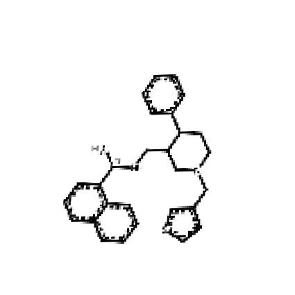 C[C@@H](NCC1CN(Cc2ccsc2)CCC1c1ccccc1)c1cccc2ccccc12